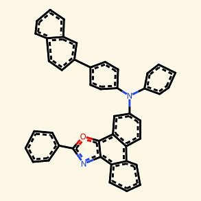 c1ccc(-c2nc3c4ccccc4c4ccc(N(c5ccccc5)c5ccc(-c6ccc7ccccc7c6)cc5)cc4c3o2)cc1